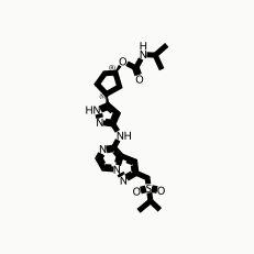 CC(C)NC(=O)O[C@@H]1CC[C@H](c2cc(Nc3nccn4nc(CS(=O)(=O)C(C)C)cc34)n[nH]2)C1